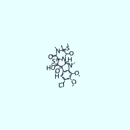 COc1c(Cl)cc2c(c1OC)N(C)[C@@H]1N3C(=O)[C@@](C)(SC)N(C)C(=O)[C@]3(SC)[C@H](O)[C@]21O